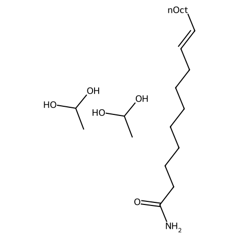 CC(O)O.CC(O)O.CCCCCCCCC=CCCCCCCCC(N)=O